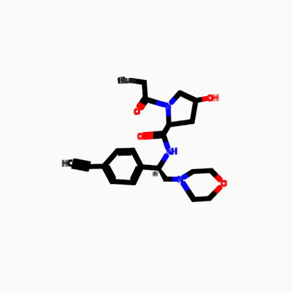 C#Cc1ccc([C@H](CN2CCOCC2)NC(=O)C2CC(O)CN2C(=O)CC(C)(C)C)cc1